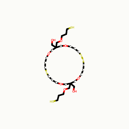 OCC1(COCCCS)COCCCSCCCOCC(CO)(COCCCS)COCCCSSCCCOC1